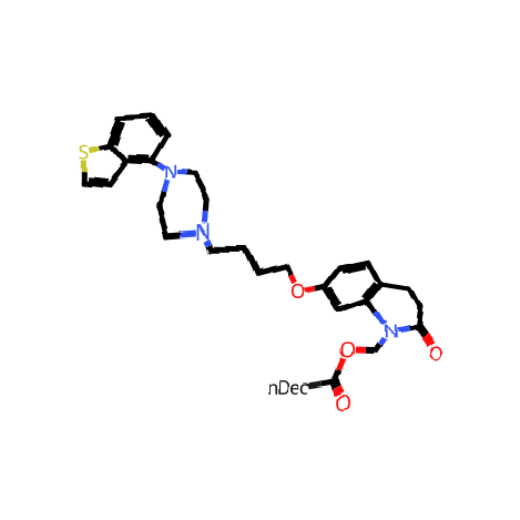 CCCCCCCCCCC(=O)OCN1C(=O)CCc2ccc(OCCCCN3CCN(c4cccc5sccc45)CC3)cc21